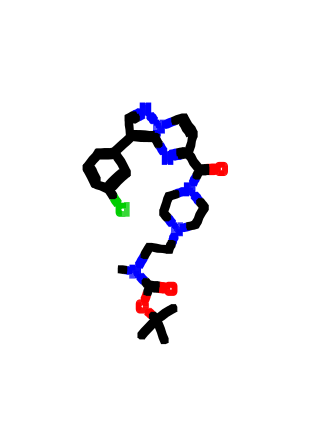 CN(CCN1CCN(C(=O)c2ccn3ncc(-c4cccc(Cl)c4)c3n2)CC1)C(=O)OC(C)(C)C